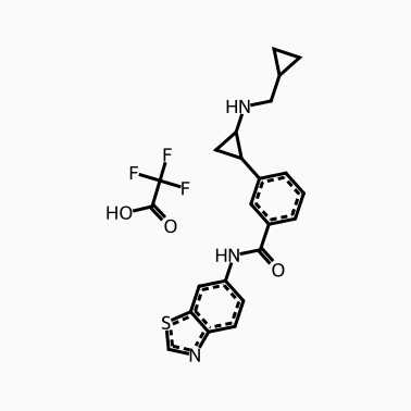 O=C(Nc1ccc2ncsc2c1)c1cccc(C2CC2NCC2CC2)c1.O=C(O)C(F)(F)F